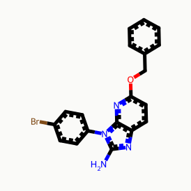 Nc1nc2ccc(OCc3ccccc3)nc2n1-c1ccc(Br)cc1